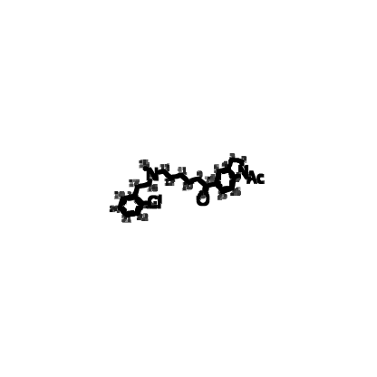 CC(=O)N1CCc2cc(C(=O)CCCCCN(C)CCc3ccccc3Cl)ccc21